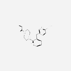 C=CC(=O)N1CCN(c2ncccc2Cc2ccc(C(F)(F)F)nc2)CC1